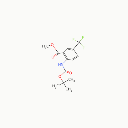 COC(=O)c1cc(C(F)(F)F)ccc1NC(=O)OC(C)(C)C